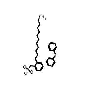 CCCCCCCCCCCCc1ccccc1CS(=O)(=O)[O-].c1ccc([I+]c2ccccc2)cc1